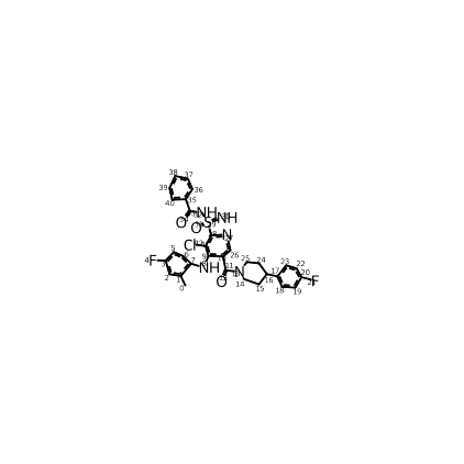 Cc1cc(F)ccc1Nc1c(C(=O)N2CCC(c3ccc(F)cc3)CC2)cnc(S(=N)(=O)NC(=O)c2ccccc2)c1Cl